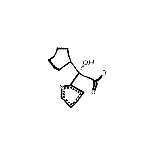 [O]C(=O)[C@@](O)(c1cccs1)C1CCCC1